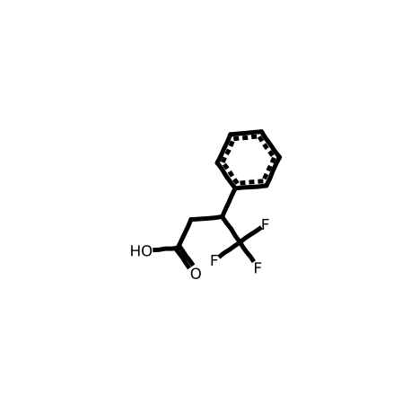 O=C(O)CC(c1ccccc1)C(F)(F)F